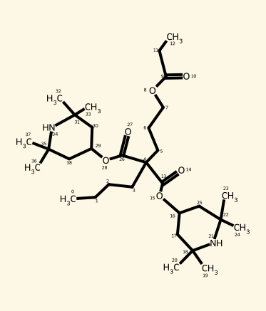 CCCCC(CCCOC(=O)CC)(C(=O)OC1CC(C)(C)NC(C)(C)C1)C(=O)OC1CC(C)(C)NC(C)(C)C1